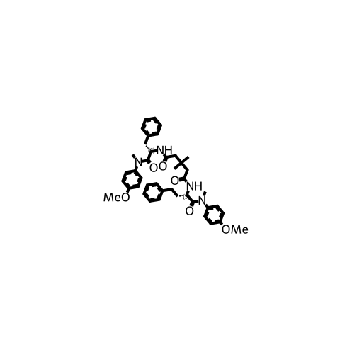 COc1ccc(N(C)C(=O)[C@H](CCc2ccccc2)NC(=O)CC(C)(C)CC(=O)N[C@@H](Cc2ccccc2)C(=O)N(C)c2ccc(OC)cc2)cc1